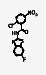 O=C(Nc1nc2ccc(F)cc2s1)c1cc([N+](=O)[O-])ccc1Cl